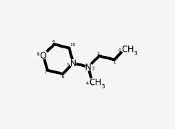 CCCN(C)N1CCOCC1